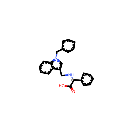 O=C(O)[C@H](NCc1cn(Cc2ccccc2)c2ccccc12)c1ccccc1